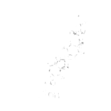 CC[C@@H](O)COc1ccc2oc(-c3ccc(N(C)C(=O)OC(C)(C)C)cc3)nc2c1